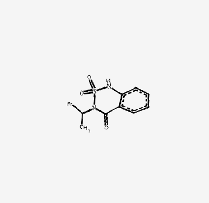 CC(C)C(C)N1C(=O)c2ccccc2NS1(=O)=O